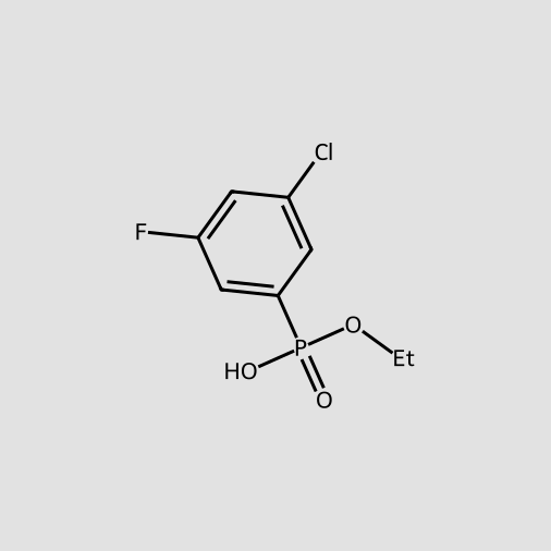 CCOP(=O)(O)c1cc(F)cc(Cl)c1